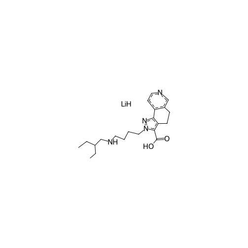 CCC(CC)CNCCCCn1nc2c(c1C(=O)O)CCc1cnccc1-2.[LiH]